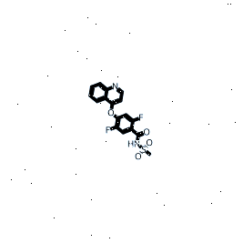 CS(=O)(=O)NC(=O)c1cc(F)c(Oc2ccnc3ccccc23)cc1F